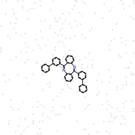 c1ccc(-c2cccc(/C3=N/c4ccccc4/C(c4cccc(-c5ccccc5)c4)=N\c4ccccc43)c2)cc1